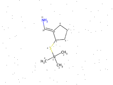 C[Si](C)(C)SC1CCCC1=CN